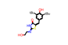 CC(C)(C)c1cc(C=C2SC(=NCCO)NC2=O)cc(C(C)(C)C)c1O